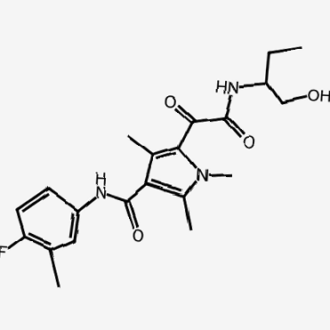 CCC(CO)NC(=O)C(=O)c1c(C)c(C(=O)Nc2ccc(F)c(C)c2)c(C)n1C